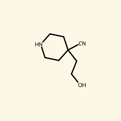 N#CC1(CCO)CCNCC1